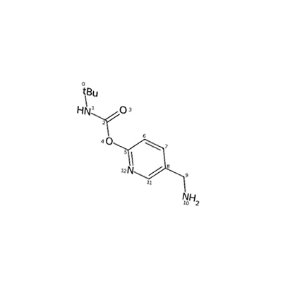 CC(C)(C)NC(=O)Oc1ccc(CN)cn1